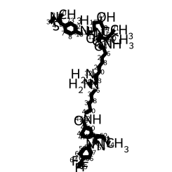 Cc1ncsc1-c1ccc(CNC(=O)[C@@H]2C[C@@H](O)CN2C(=O)[C@@H](NC(=O)CCCCC/C(N)=C/N(N)CCCCCCNC(=O)c2ccc3c(c2)c2cn(C)nc2n3-c2ccc(C(F)(F)F)cc2)C(C)(C)C)cc1